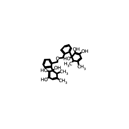 CC1=CC(O)=C(O)C(O)(c2ccccc2COCc2ccccc2C2(O)C(O)=C(O)C=C(C)C2C)C1C